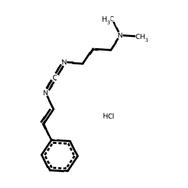 CN(C)CCCN=C=NC=Cc1ccccc1.Cl